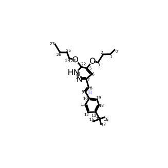 CCCCOC1=CC(/C=C/c2ccc(C(C)(C)C)cc2)=NNC1OCCCC